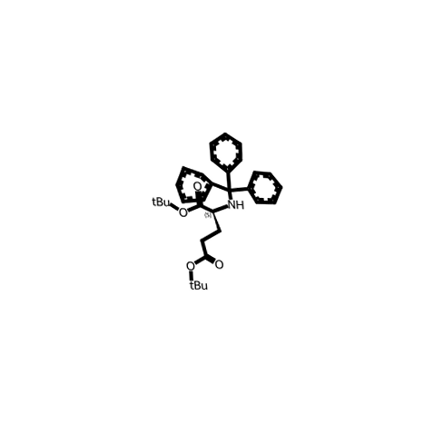 CC(C)(C)OC(=O)CC[C@H](NC(c1ccccc1)(c1ccccc1)c1ccccc1)C(=O)OC(C)(C)C